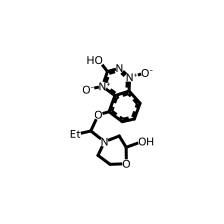 CCC(Oc1cccc2c1[n+]([O-])c(O)n[n+]2[O-])N1CCOC(O)C1